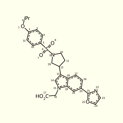 CC(C)Oc1ccc(S(=O)(=O)N2CCC(c3cn(CC(=O)O)c4cc(-c5ncco5)ccc34)C2)cc1